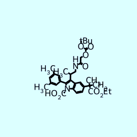 CCOC(=O)C(C)(C)c1ccc2c(c1)c(C(C)CNC(=O)COC(=O)OC(C)(C)C)c(-c1cc(C)cc(C)c1)n2C(=O)O